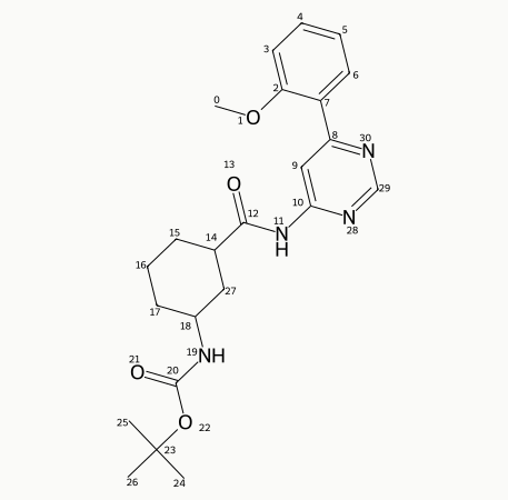 COc1ccccc1-c1cc(NC(=O)C2CCCC(NC(=O)OC(C)(C)C)C2)ncn1